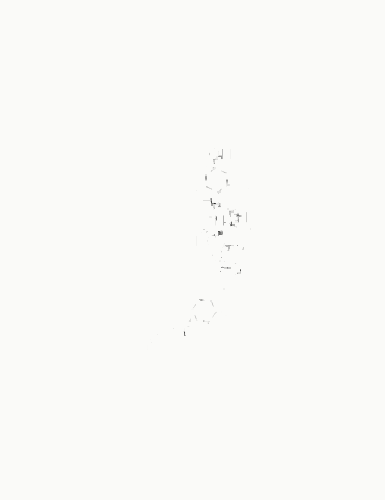 CCCOc1ccc(CCC(=O)O[C@H]2CC[C@H]3[C@@H]4CCc5cc(O)ccc5[C@H]4CC[C@]23C)cc1